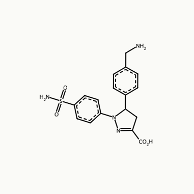 NCc1ccc(C2CC(C(=O)O)=NN2c2ccc(S(N)(=O)=O)cc2)cc1